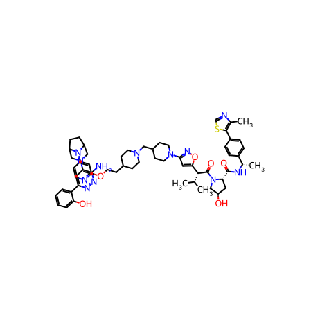 Cc1ncsc1-c1ccc([C@H](C)NC(=O)[C@@H]2C[C@@H](O)CN2C(=O)[C@@H](c2cc(N3CCC(CN4CCC(CCOc5cc(N6C7CCC6CN(c6cc(-c8ccccc8O)nnc6N)C7)ccn5)CC4)CC3)no2)C(C)C)cc1